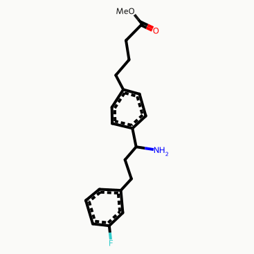 COC(=O)CCCc1ccc(C(N)CCc2cccc(F)c2)cc1